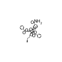 C#CCCCO[C@H]1[C@@H](OC(=O)c2ccccc2)[C@H]([n+]2cccc(C(N)=O)c2)O[C@@H]1COC(=O)c1ccccc1